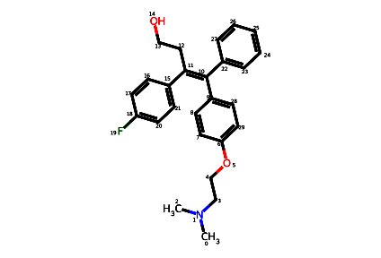 CN(C)CCOc1ccc(C(=C(CCO)c2ccc(F)cc2)c2ccccc2)cc1